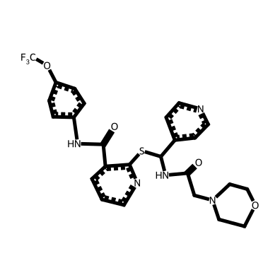 O=C(CN1CCOCC1)NC(Sc1ncccc1C(=O)Nc1ccc(OC(F)(F)F)cc1)c1ccncc1